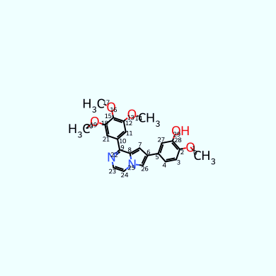 COc1ccc(-c2cc3c(-c4cc(OC)c(OC)c(OC)c4)nccn3c2)cc1O